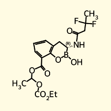 CCOC(=O)OC(C)OC(=O)c1cccc2c1OB(O)[C@@H](NC(=O)CC(C)(F)F)C2